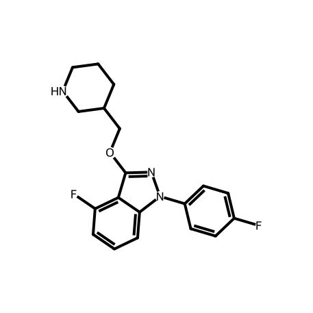 Fc1ccc(-n2nc(OCC3CCCNC3)c3c(F)cccc32)cc1